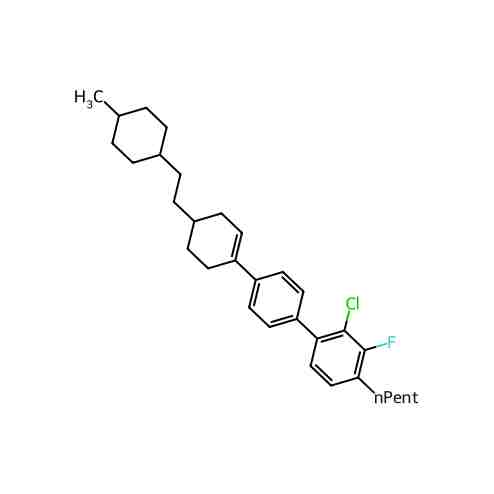 CCCCCc1ccc(-c2ccc(C3=CCC(CCC4CCC(C)CC4)CC3)cc2)c(Cl)c1F